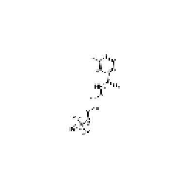 Cc1cccc(C(=O)NCCCCO[Si](C(C)C)(C(C)C)C(C)C)c1